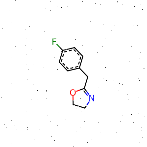 Fc1ccc(CC2=NCCO2)cc1